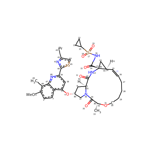 COc1ccc2c(O[C@@H]3C[C@H]4C(=O)N[C@]5(C(=O)NS(=O)(=O)C6CC6)C[C@H]5/C=C\CCCCO[C@H](C)C(=O)N4C3)cc(-c3nc(C(C)C)cs3)nc2c1C